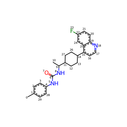 Cc1ccc(NC(=O)NC(C)C2CCC(c3ccnc4ccc(F)cc34)CC2)cc1